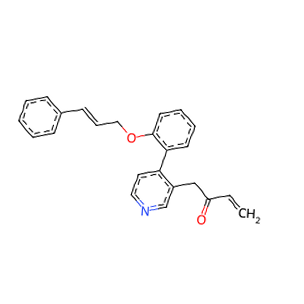 C=CC(=O)Cc1cnccc1-c1ccccc1OCC=Cc1ccccc1